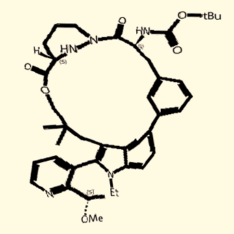 CCn1c(-c2cccnc2[C@H](C)OC)c2c3cc(ccc31)-c1cccc(c1)C[C@H](NC(=O)OC(C)(C)C)C(=O)N1CCC[C@H](N1)C(=O)OCC(C)(C)C2